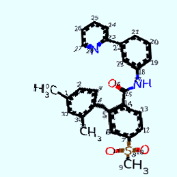 Cc1ccc(-c2cc(S(C)(=O)=O)ccc2C(=O)Nc2cccc(-c3ccccn3)c2)c(C)c1